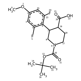 COc1cc(F)c(C2CN(C(=O)OC(C)(C)C)CCC2C(=O)O)c(F)c1